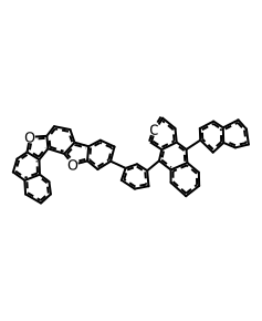 c1cc(-c2ccc3c(c2)oc2c3ccc3oc4ccc5ccccc5c4c32)cc(-c2c3ccccc3c(-c3ccc4ccccc4c3)c3ccccc23)c1